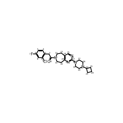 O=C(Cc1ccc(F)cc1Cl)N1CCc2cnc(N3CCN(C4CCC4)CC3)nc2CC1